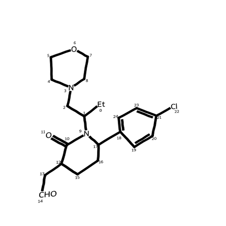 CCC(CN1CCOCC1)N1C(=O)C(CC=O)CCC1c1ccc(Cl)cc1